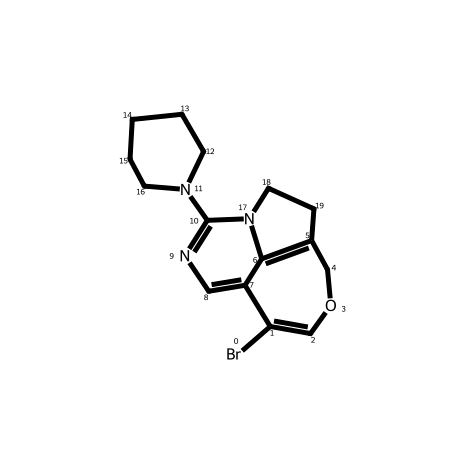 BrC1=COCC2=C3C1=CN=C(N1CCCCC1)N3CC2